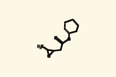 CC1OC1CC(=O)OC1CCCCC1